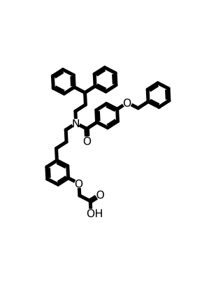 O=C(O)COc1cccc(CCCN(CCC(c2ccccc2)c2ccccc2)C(=O)c2ccc(OCc3ccccc3)cc2)c1